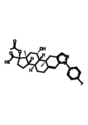 CC(=O)O[C@]1(C(=O)S)CC[C@H]2[C@@H]3CCC4=Cc5c(cnn5-c5ccc(F)cc5)C[C@]4(C)[C@H]3[C@@H](O)C[C@@]21C